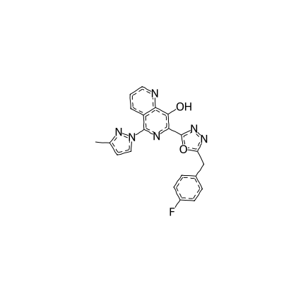 Cc1ccn(-c2nc(-c3nnc(Cc4ccc(F)cc4)o3)c(O)c3ncccc23)n1